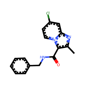 Cc1nc2cc(Cl)ccn2c1C(=O)NCc1ccccc1